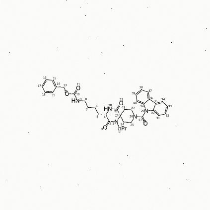 CCCN1C(=O)[C@H](CCCCNC(=O)OCc2ccccc2)NC(=O)C12CCN(C(=O)n1c3ccccc3c3ccccc31)CC2